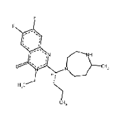 CCC[C@H](c1nc2cc(F)c(F)cc2c(=O)n1CC)N1CCNC(C)CC1